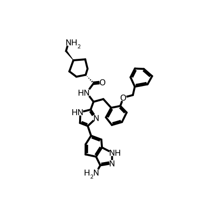 NC[C@H]1CC[C@H](C(=O)NC(Cc2ccccc2OCc2ccccc2)c2nc(-c3ccc4c(N)n[nH]c4c3)c[nH]2)CC1